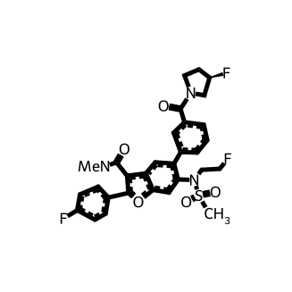 CNC(=O)c1c(-c2ccc(F)cc2)oc2cc(N(CCF)S(C)(=O)=O)c(-c3cccc(C(=O)N4CC[C@@H](F)C4)c3)cc12